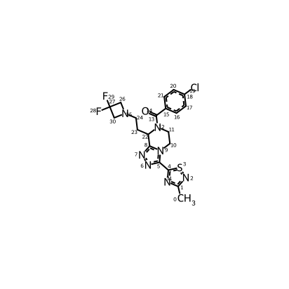 Cc1nsc(-c2nnc3n2CCN(C(=O)c2ccc(Cl)cc2)C3CCN2CC(F)(F)C2)n1